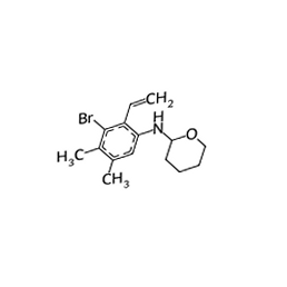 C=Cc1c(NC2CCCCO2)cc(C)c(C)c1Br